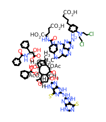 CC(=O)O[C@H]1C(=O)[C@@]2(C)[C@H]([C@H](OC(=O)c3ccccc3)[C@]3(O)C[C@H](OC(=O)[C@H](O)[C@@H](NC(=O)c4ccccc4)c4ccccc4)C(C)=C1C3(C)C)[C@]1(OC(C)=O)CO[C@@H]1C[C@@H]2O.CN(Cc1cnc2nc(N)nc(N)c2n1)c1ccc(C(=O)N[C@@H](CCC(=O)O)C(=O)O)cc1.Nc1nc(=S)c2[nH]cnc2[nH]1.O=C(O)CCCc1ccc(N(CCCl)CCCl)cc1.S=c1nc[nH]c2nc[nH]c12